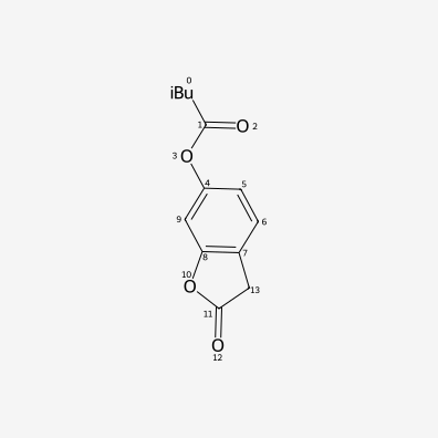 CCC(C)C(=O)Oc1ccc2c(c1)OC(=O)C2